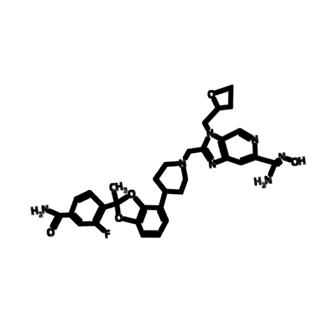 CC1(c2ccc(C(N)=O)cc2F)Oc2cccc(C3CCN(Cc4nc5cc(C(N)=NO)ncc5n4CC4CCO4)CC3)c2O1